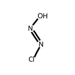 ON=NCl